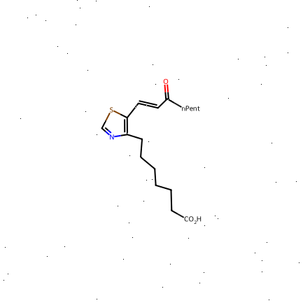 CCCCCC(=O)C=Cc1scnc1CCCCCCC(=O)O